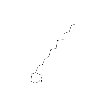 CCCCCCCCCCCCC1COCCO1